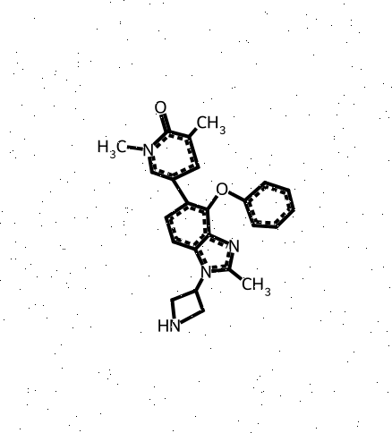 Cc1cc(-c2ccc3c(nc(C)n3C3CNC3)c2Oc2ccccc2)cn(C)c1=O